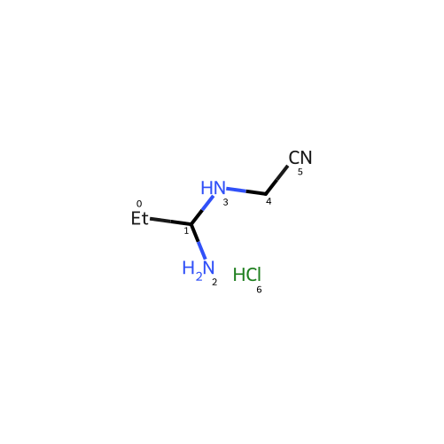 CCC(N)NCC#N.Cl